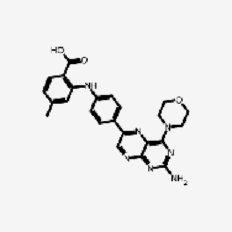 Cc1ccc(C(=O)O)c(Nc2ccc(-c3cnc4nc(N)nc(N5CCOCC5)c4n3)cc2)c1